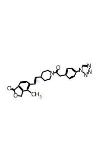 Cc1c(/C=C/C2CCN(C(=O)Cc3ccc(-n4cnnn4)cc3)CC2)ccc2c1COC2=O